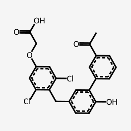 CC(=O)c1cccc(-c2cc(Cc3c(Cl)cc(OCC(=O)O)cc3Cl)ccc2O)c1